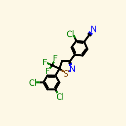 N#Cc1ccc(C2=NSC(c3cc(Cl)cc(Cl)c3)(C(F)(F)F)C2)cc1Cl